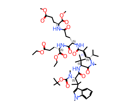 CCOC(=O)CC[C@H](NC(=O)[C@H](CCC(=O)N[C@@H](CCC(=O)OC)C(=O)OC)NC(=O)/C(C)=C/[C@H](C(C)C)N(C)C(=O)[C@@H](NC(=O)[C@@H](N(C)C(=O)OC(C)(C)C)C(C)(C)c1cn(C)c2ccccc12)C(C)(C)C)C(=O)OCC